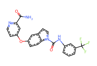 NC(=O)c1cc(Oc2ccc3c(ccn3C(=O)Nc3cccc(C(F)(F)F)c3)c2)ccn1